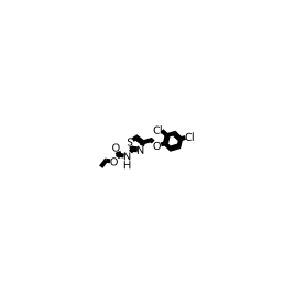 CCOC(=O)Nc1nc(COc2ccc(Cl)cc2Cl)cs1